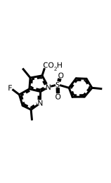 Cc1ccc(S(=O)(=O)n2c(C(=O)O)c(C)c3c(F)cc(C)nc32)cc1